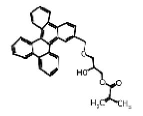 C=C(C)C(=O)OCC(O)COCc1ccc2c3ccccc3c3c4ccccc4c4ccccc4c3c2c1